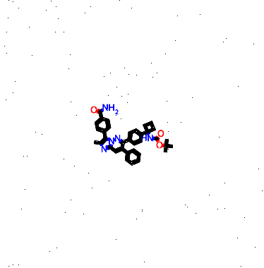 Cc1nc2cc(-c3ccccc3)c(-c3ccc(C4(NC(=O)OC(C)(C)C)CCC4)cc3)nn2c1-c1ccc(C(N)=O)cc1